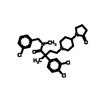 CN(Cc1cccc(Cl)c1)C(=O)C(C)(CCN1CCC(N2CCCC2=O)CC1)c1ccc(Cl)c(Cl)c1